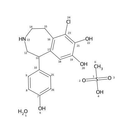 CS(=O)(=O)O.O.Oc1ccc(C2CNCCc3c2cc(O)c(O)c3Cl)cc1